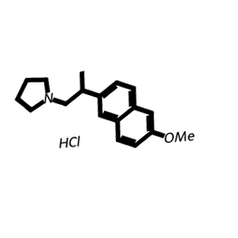 COc1ccc2cc(C(C)CN3CCCC3)ccc2c1.Cl